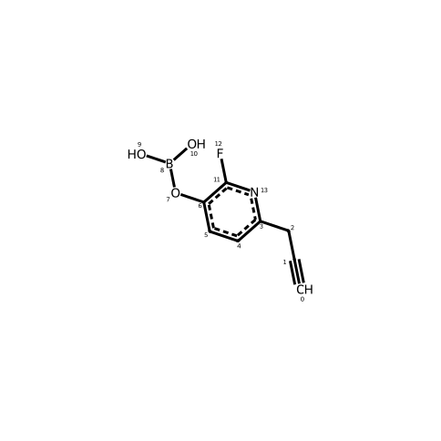 C#CCc1ccc(OB(O)O)c(F)n1